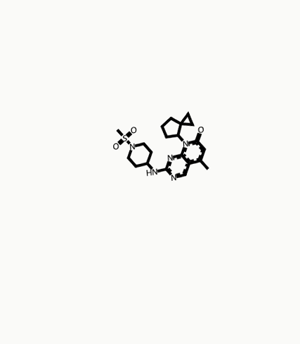 Cc1cc(=O)n(C2CCCC23CC3)c2nc(NC3CCN(S(C)(=O)=O)CC3)ncc12